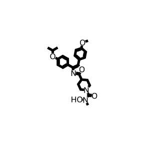 COc1ccc(-c2oc(C3CCN(C(=O)N(C)O)CC3)nc2-c2ccc(OC(C)C)cc2)cc1